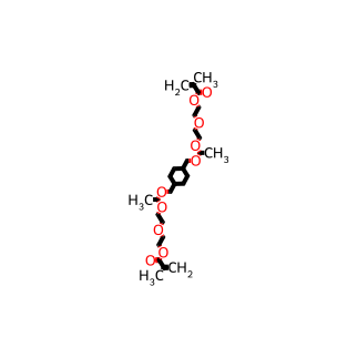 C=C(C)C(=O)OCCOCCOC(C)OCC1CCC(COC(C)OCCOCCOC(=O)C(=C)C)CC1